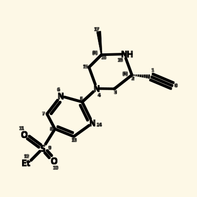 C#C[C@@H]1CN(c2ncc(S(=O)(=O)CC)cn2)C[C@@H](C)N1